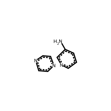 Nc1cccnc1.c1cnccn1